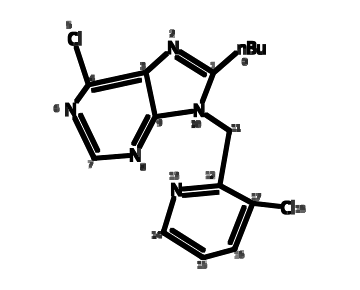 CCCCc1nc2c(Cl)ncnc2n1Cc1ncccc1Cl